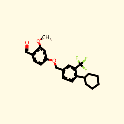 COc1cc(OCc2ccc(C3CCCCC3)c(C(F)(F)F)c2)ccc1C=O